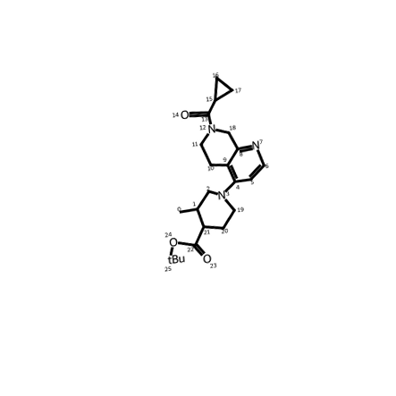 CC1CN(c2ccnc3c2CCN(C(=O)C2CC2)C3)CCC1C(=O)OC(C)(C)C